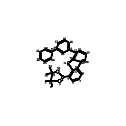 CC1(C)OB(c2cccc3c2sc2c(-c4cccc(-c5ccccc5)c4)cccc23)OC1(C)C